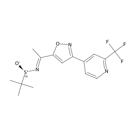 CC(=N[S@+]([O-])C(C)(C)C)c1cc(-c2ccnc(C(F)(F)F)c2)no1